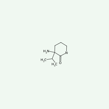 CC(C)C1(N)CCC[N]C1=O